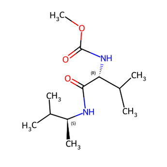 COC(=O)N[C@@H](C(=O)N[C@@H](C)C(C)C)C(C)C